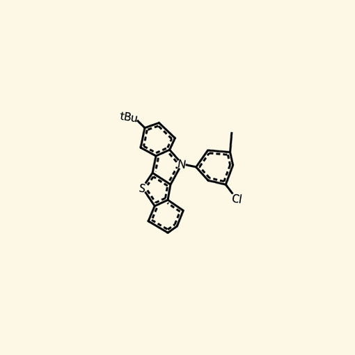 Cc1cc(Cl)cc(-n2c3ccc(C(C)(C)C)cc3c3sc4ccccc4c32)c1